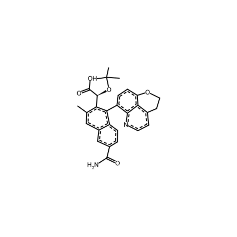 Cc1cc2cc(C(N)=O)ccc2c(-c2ccc3c4c(ccnc24)CCO3)c1[C@H](OC(C)(C)C)C(=O)O